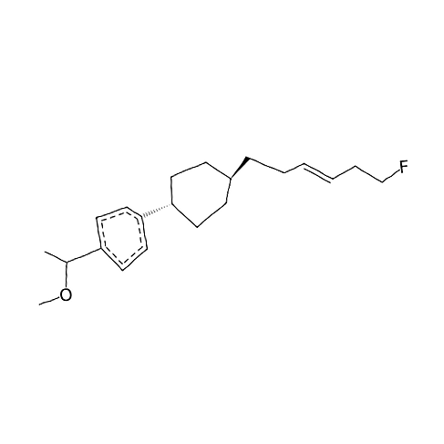 COC(C)c1ccc([C@H]2CC[C@H](CCC=CCCF)CC2)cc1